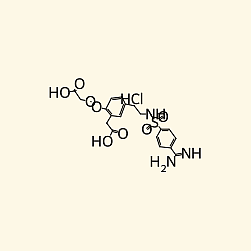 Cl.N=C(N)c1ccc(S(=O)(=O)NCCc2ccc(OOCC(=O)O)c(CC(=O)O)c2)cc1